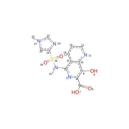 CN(c1nc(C(=O)O)c(O)c2ncccc12)S(=O)(=O)c1cn(C)cn1